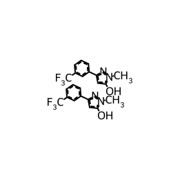 Cn1nc(-c2cccc(C(F)(F)F)c2)cc1O.Cn1nc(-c2cccc(C(F)(F)F)c2)cc1O